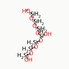 O[SiH2]O[SiH2]O[SiH2]O[SiH](O)O[SiH2]O[SiH2]O[SiH2]O